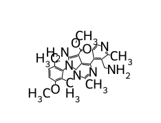 COC(=O)c1c(N)n(-c2c(C)ccc(OC)c2C)c2nc(C)nc(-c3ccnc(C)c3CN)c12